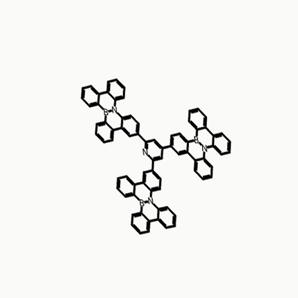 c1ccc2c(c1)B1c3ccc(-c4cc(-c5ccc6c(c5)-c5ccccc5B5c7ccccc7-c7ccccc7N56)nc(-c5ccc6c(c5)-c5ccccc5B5c7ccccc7-c7ccccc7N56)c4)cc3-c3ccccc3N1c1ccccc1-2